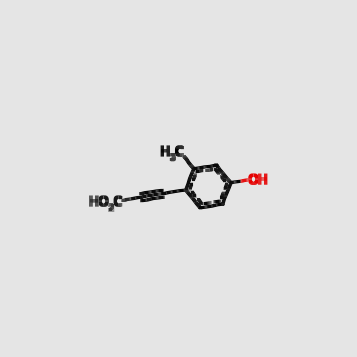 Cc1cc(O)ccc1C#CC(=O)O